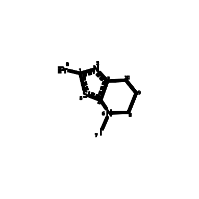 CC(C)c1nc2c(s1)N(I)CCC2